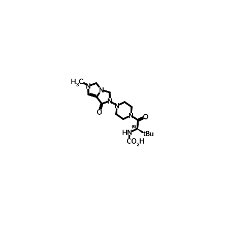 CN1C=C2C(=O)N(N3CCN(C(=O)[C@H](NC(=O)O)C(C)(C)C)CC3)CN2C1